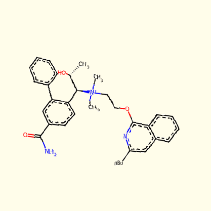 CCCCc1cc2ccccc2c(OCC[N+](C)(C)[C@@H](c2ccc(C(N)=O)cc2-c2ccccc2)[C@@H](C)O)n1